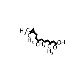 CC(/C=C/CC(C)CCC1CC1(C)C)=C\C(=O)O